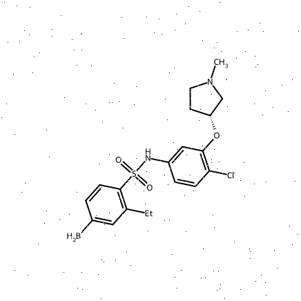 Bc1ccc(S(=O)(=O)Nc2ccc(Cl)c(O[C@@H]3CCN(C)C3)c2)c(CC)c1